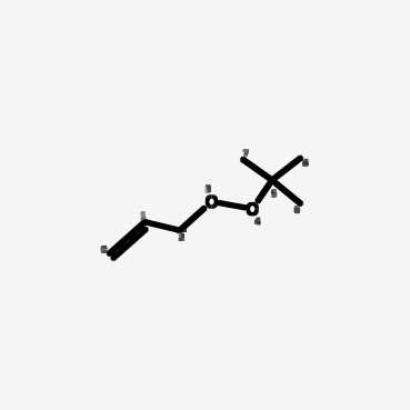 C=C[CH]OOC(C)(C)C